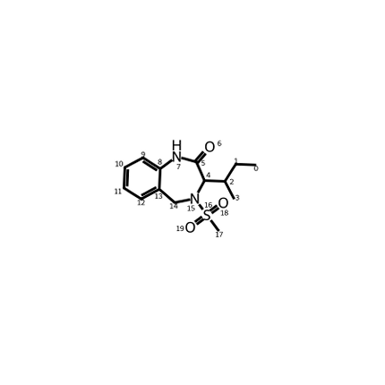 CCC(C)C1C(=O)Nc2ccccc2CN1S(C)(=O)=O